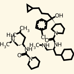 CNC[C@H](CC(C)C)NC(=O)N1CCCCC1.CNC[C@H](CC1CCCCC1)NC(=O)N1CCC[C@@H](C(O)(CCCC2CC2)c2cccc(Cl)c2)C1